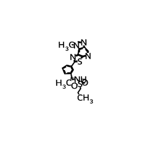 CCCS(=O)(=O)N[C@@H](C)c1cccc(-c2nc3c(ncc4ncn(C)c43)s2)c1